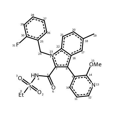 CCS(=O)(=O)NC(=O)c1c(-c2cccnc2OC)c2cc(C)ccc2n1Cc1ccccc1F